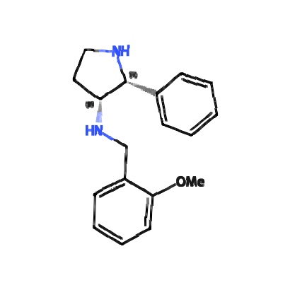 COc1ccccc1CN[C@@H]1CCN[C@@H]1c1ccccc1